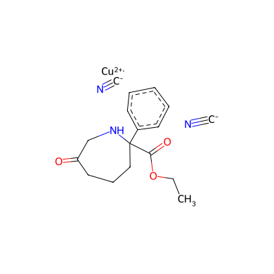 CCOC(=O)C1(c2ccccc2)CCCC(=O)CN1.[C-]#N.[C-]#N.[Cu+2]